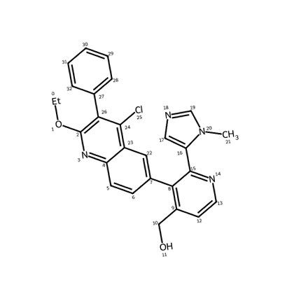 CCOc1nc2ccc(-c3c(CO)ccnc3-c3cncn3C)cc2c(Cl)c1-c1ccccc1